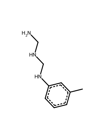 Cc1cccc(NCNCN)c1